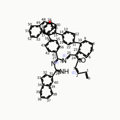 C=C/C=C\c1oc2cccc(-c3ccc(-c4ccccc4)cc3)c2c1/C=N/C(=N\C(=N)c1ccc2ccccc2c1)c1ccc(-c2cccc3ccccc23)cc1